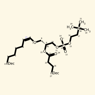 CCCCCCCCCCCCCC/C=C\OC[C@H](COP(=O)([O-])OCC[N+](C)(C)C)OC(=O)CCCCCCCCCCCC